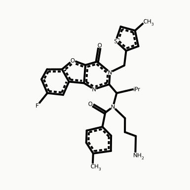 Cc1ccc(C(=O)N(CCCN)C(c2nc3c(oc4ccc(F)cc43)c(=O)n2Cc2cc(C)cs2)C(C)C)cc1